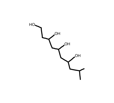 CC(C)CC(O)CC(O)CC(O)CCO